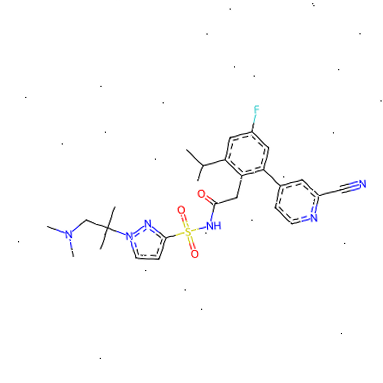 CC(C)c1cc(F)cc(-c2ccnc(C#N)c2)c1CC(=O)NS(=O)(=O)c1ccn(C(C)(C)CN(C)C)n1